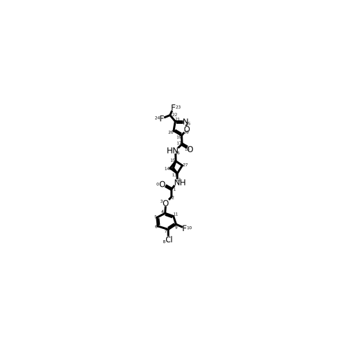 O=C(COc1ccc(Cl)c(F)c1)NC12CC(NC(=O)c3cc(C(F)F)no3)(C1)C2